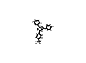 O=[N+]([O-])c1ccc(C2=NC(c3ccccc3)N3C2C3c2ccccc2)cc1